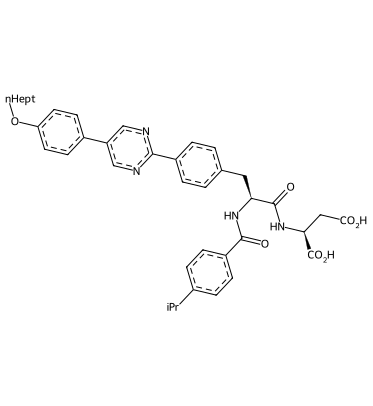 CCCCCCCOc1ccc(-c2cnc(-c3ccc(C[C@H](NC(=O)c4ccc(C(C)C)cc4)C(=O)N[C@@H](CC(=O)O)C(=O)O)cc3)nc2)cc1